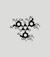 CC(=O)CC1(C)CC(n2c(=O)n(C3CC(C)(C)CC(C)(CC(C)=O)C3)c(=O)n(C3CC(C)(C)CC(C)(CC(C)=O)C3)c2=O)CC(C)(C)C1